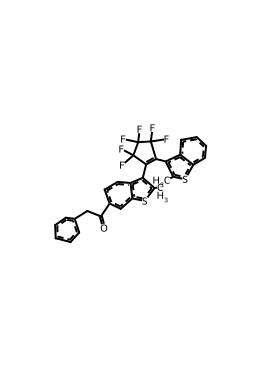 Cc1sc2ccccc2c1C1=C(c2c(C)sc3cc(C(=O)Cc4ccccc4)ccc23)C(F)(F)C(F)(F)C1(F)F